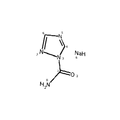 NC(=O)n1cncn1.[NaH]